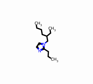 CCCCC(CC)Cn1ccnc1CCC